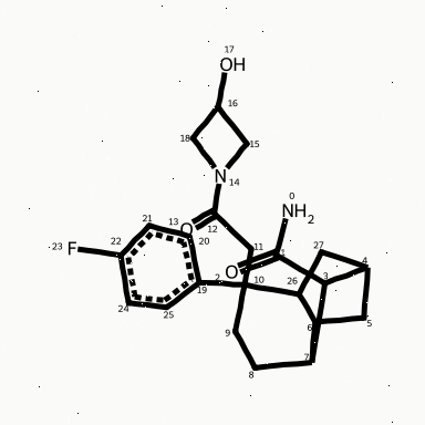 NC(=O)C1C2CC3C1CCC(CC(=O)N1CC(O)C1)(c1ccc(F)cc1)C3C2